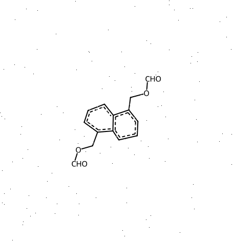 O=COCc1cccc2c(COC=O)cccc12